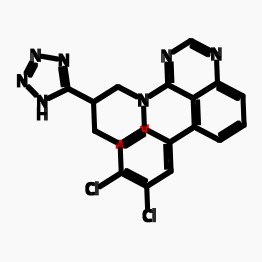 Clc1ccc(-c2cccc3ncnc(N4CCCC(c5nnn[nH]5)C4)c23)cc1Cl